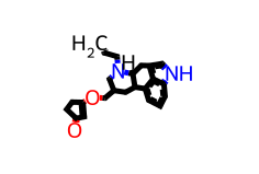 C=CCN1CC(COC2=CC(=O)CC2)CC2c3cccc4[nH]cc(c34)C[C@H]21